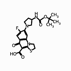 CC(C)(C)OC(=O)NC1CCN(c2cc3c(cc2F)c(=O)c(C(=O)O)c2n3CCS2)C1